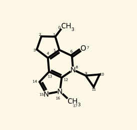 CC1CCc2c1c(=O)n(C1CC1)c1c2cnn1C